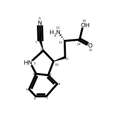 N#C[C@@H]1Nc2ccccc2[C@@H]1C[C@H](N)C(=O)O